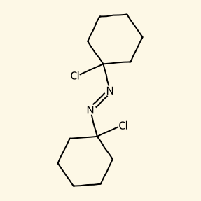 ClC1(N=NC2(Cl)CCCCC2)CCCCC1